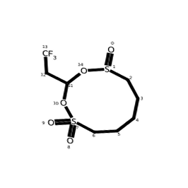 O=S1CCCCCS(=O)(=O)OC(CC(F)(F)F)O1